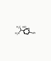 CCCc1ccc(C(C)N)cn1.Cl